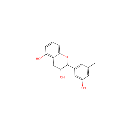 Cc1cc(O)cc(C2Oc3cccc(O)c3CC2O)c1